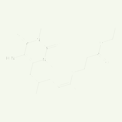 CCOC(=O)CCS/C(C)=C\CC(C)Cc1c(N)c(=S)n(C)c(=O)n1C